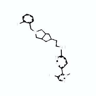 Cc1cnn(C)c1-c1ccc(NCCC2CC3CN(Cc4ccccc4F)CC3C2)nn1